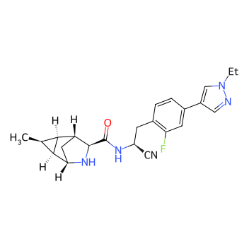 CCn1cc(-c2ccc(C[C@@H](C#N)NC(=O)[C@H]3N[C@H]4C[C@@H]3[C@@H]3[C@H](C)[C@@H]34)c(F)c2)cn1